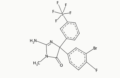 CN1C(=O)C(c2cccc(S(F)(F)(F)(F)F)c2)(c2ccc(F)c(Br)c2)N=C1N